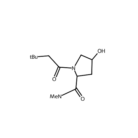 CNC(=O)C1CC(O)CN1C(=O)CC(C)(C)C